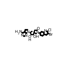 Nc1ncnc2c1ccn2[C@@H]1C[C@@]2(CC(=O)N(c3ccc4cc(Br)c(Cl)nc4c3)C2)[C@@H](O)[C@H]1O